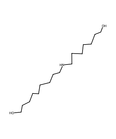 OCCCCCCCCCNCCCCCCCO